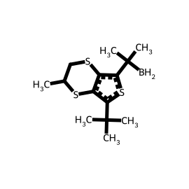 BC(C)(C)c1sc(C(C)(C)C)c2c1SCC(C)S2